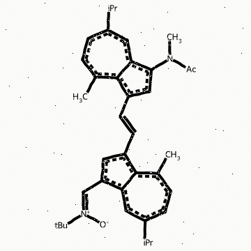 CC(=O)N(C)c1cc(/C=C/c2cc(/C=[N+](\[O-])C(C)(C)C)c3cc(C(C)C)ccc(C)c2-3)c2c(C)ccc(C(C)C)cc1-2